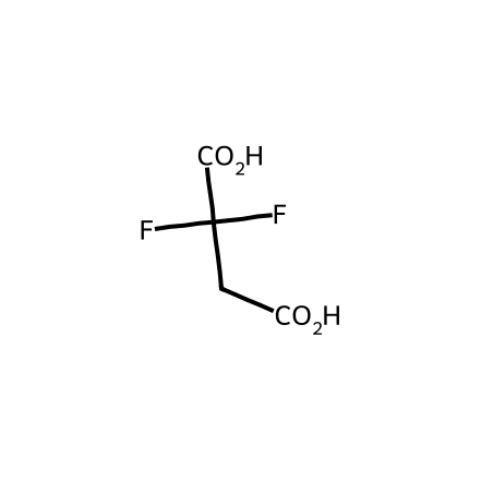 O=C(O)CC(F)(F)C(=O)O